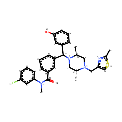 Cc1nc(CN2C[C@H](C)N(C(c3cccc(O)c3)c3cccc(C(=O)N(C)c4cccc(F)c4)c3)C[C@H]2C)cs1